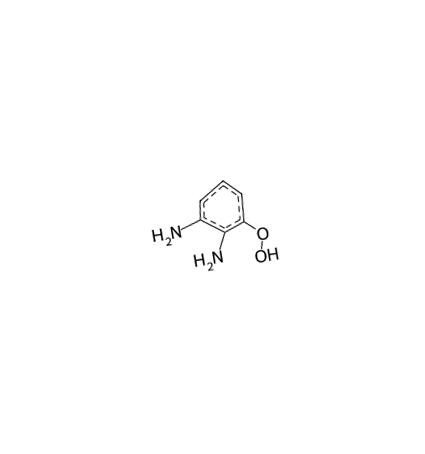 Nc1cccc(OO)c1N